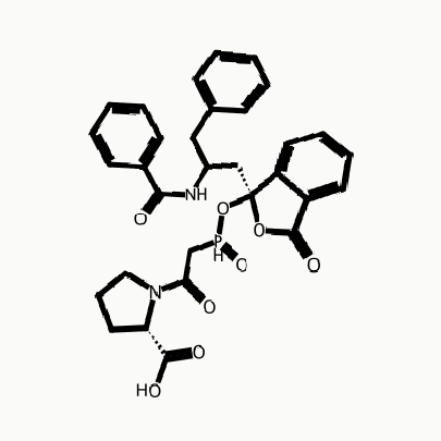 O=C(NC(Cc1ccccc1)C[C@@]1(O[PH](=O)CC(=O)N2CCC[C@H]2C(=O)O)OC(=O)c2ccccc21)c1ccccc1